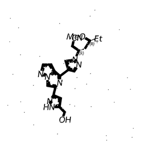 CC[C@H](C[C@@H](CC#N)n1cc(-c2nc(-c3cc(CO)[nH]n3)cn3nccc23)cn1)OC